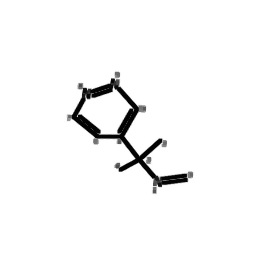 C=NC(C)(C)c1ccnnc1